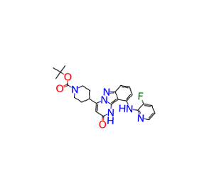 CC(C)(C)OC(=O)N1CCC(c2cc(=O)[nH]c3c4c(Nc5ncccc5F)cccc4nn23)CC1